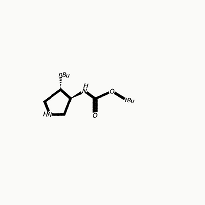 CCCC[C@H]1CNC[C@@H]1NC(=O)OC(C)(C)C